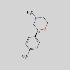 CN1CCO[C@@H](c2ccc([N+](=O)[O-])cc2)C1